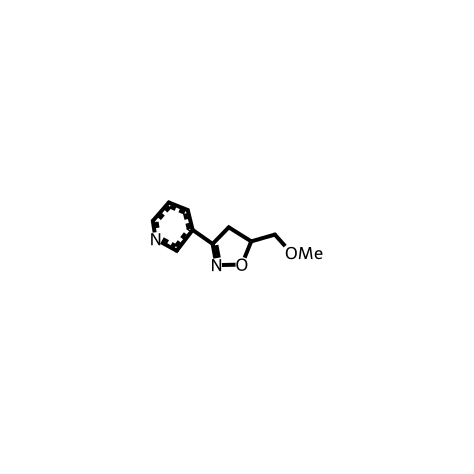 COCC1CC(c2cccnc2)=NO1